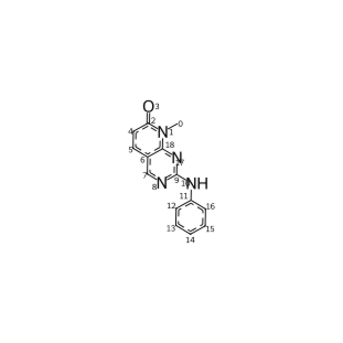 Cn1c(=O)ccc2cnc(Nc3ccccc3)nc21